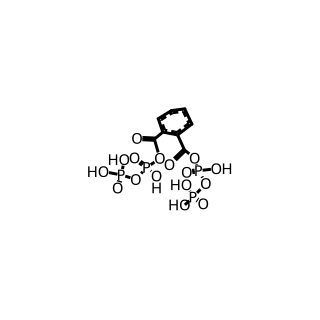 O=C(OP(=O)(O)OP(=O)(O)O)c1ccccc1C(=O)OP(=O)(O)OP(=O)(O)O